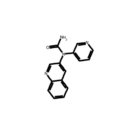 NC(=O)N(c1cccnc1)c1cnc2ccccc2c1